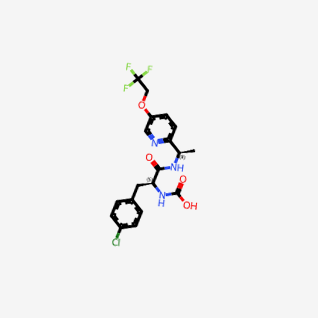 C[C@@H](NC(=O)[C@H](Cc1ccc(Cl)cc1)NC(=O)O)c1ccc(OCC(F)(F)F)cn1